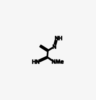 C=C(N=N)C(=N)NC